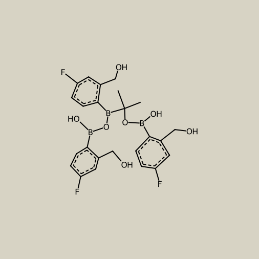 CC(C)(OB(O)c1ccc(F)cc1CO)B(OB(O)c1ccc(F)cc1CO)c1ccc(F)cc1CO